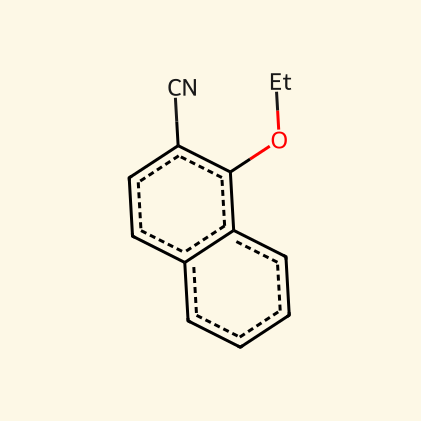 CCOc1c(C#N)ccc2ccccc12